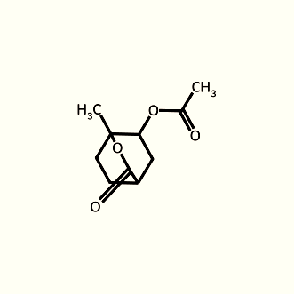 CC(=O)OC1CC2CCC1(C)OC2=O